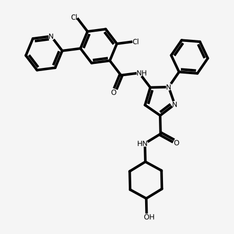 O=C(NC1CCC(O)CC1)c1cc(NC(=O)c2cc(-c3ccccn3)c(Cl)cc2Cl)n(-c2ccccc2)n1